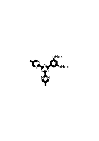 CCCCCCc1cc(CCCCCC)cc(-c2nc(-c3ncc(C)cn3)nc(-c3ncc(C)cn3)n2)c1